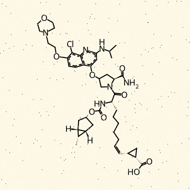 CC(C)Nc1cc(OC2C[C@@H](C(N)=O)N(C(=O)[C@H](CCCCC/C=C\[C@@H]3C[C@@H]3C(=O)O)NC(=O)O[C@@H]3C[C@@H]4[C@H](C)[C@@H]4C3)C2)c2ccc(OCCN3CCOCC3)c(Cl)c2n1